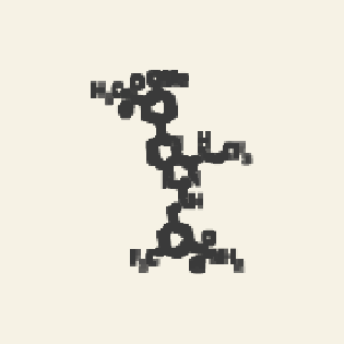 COc1ccc(-c2ccc3nc(NCc4cc(C(F)(F)F)cc(S(N)(=O)=O)c4)nc(NCC(F)(F)F)c3n2)cc1S(C)(=O)=O